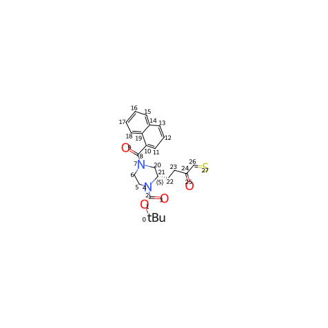 CC(C)(C)OC(=O)N1CCN(C(=O)c2cccc3ccccc23)C[C@@H]1CCC(=O)C=S